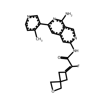 Cc1ccncc1-c1cc2cc(NC(=O)C(F)=C3CC4(COC4)C3)ncc2c(N)n1